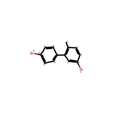 [CH2]c1ccc(Br)cc1-c1ccc(Br)cc1